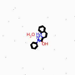 O.OC1=C2C=Cc3ccccc3N2NN1c1ccccc1